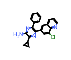 Nc1nc(-c2ccccc2)c(-c2cc(Cl)c3ncccc3c2)nc1C1CC1